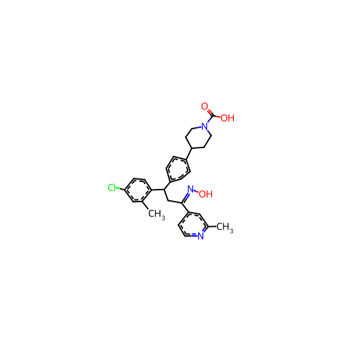 Cc1cc(C(CC(c2ccc(C3CCN(C(=O)O)CC3)cc2)c2ccc(Cl)cc2C)=NO)ccn1